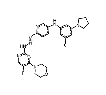 Fc1cnc(N/N=C/c2ccc(Nc3cc(Cl)cc(N4CCCC4)c3)cn2)nc1N1CCOCC1